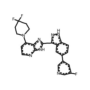 Fc1cncc(-c2ccc3[nH]nc(-c4nc5c(N6CCC(F)(F)CC6)ccnc5[nH]4)c3c2)c1